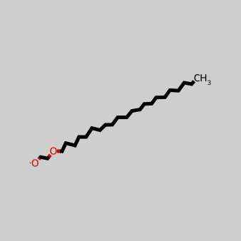 CCCCCCCCCCCCCCCCCCCCCCOCC[O]